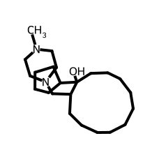 CN1CCN(CC2CCCCCCCCCCC2(O)C2CCCC2)CC1